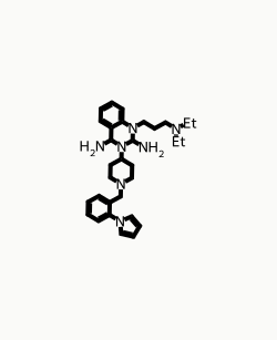 CCN(CC)CCCN1c2ccccc2C(N)N(C2CCN(Cc3ccccc3-n3cccc3)CC2)C1N